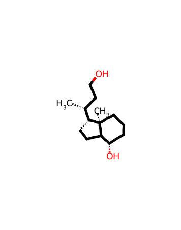 C[C@H](CCO)[C@H]1CCC2[C@@H](O)CCC[C@@]21C